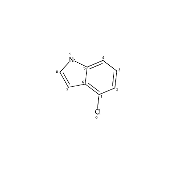 Clc1cccc2c1C=C[N]2